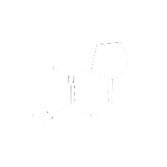 O=[N+]([O-])c1ccc2c([n+]1[O-])CCO2